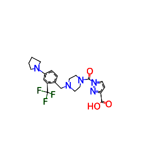 O=C(O)c1ccn(C(=O)N2CCN(Cc3ccc(N4CCCC4)cc3C(F)(F)F)CC2)n1